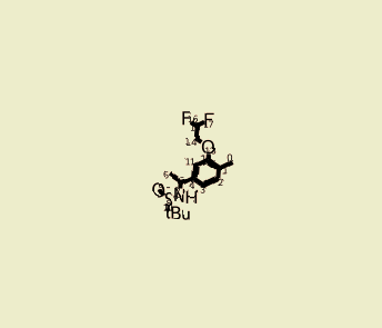 Cc1ccc(C(C)N[S@+]([O-])C(C)(C)C)cc1OCC(F)F